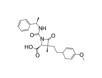 COC1=CCC(CC[C@@]2(C)C(=O)N(C(=O)N[C@H](C)c3ccccc3)[C@@H]2C(=O)O)C=C1